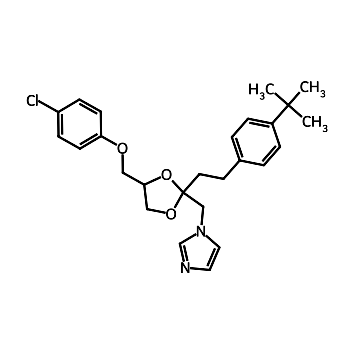 CC(C)(C)c1ccc(CCC2(Cn3ccnc3)OCC(COc3ccc(Cl)cc3)O2)cc1